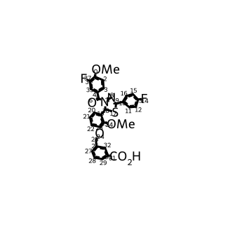 COc1ccc(C(=O)N2N=C(c3ccc(F)cc3)SC2c2cccc(OCc3cccc(C(=O)O)c3)c2OC)cc1F